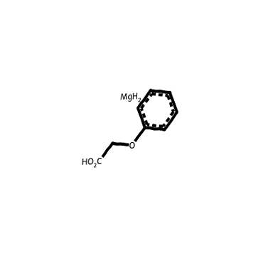 O=C(O)COc1ccccc1.[MgH2]